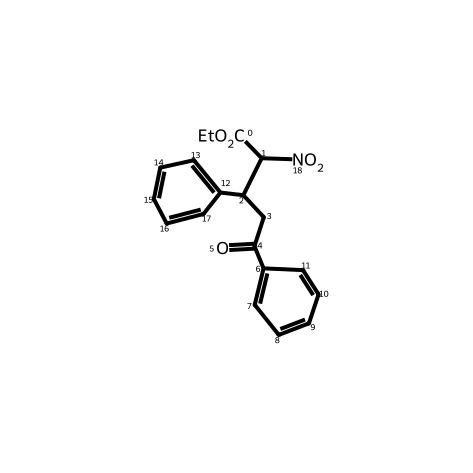 CCOC(=O)C(C(CC(=O)c1ccccc1)c1ccccc1)[N+](=O)[O-]